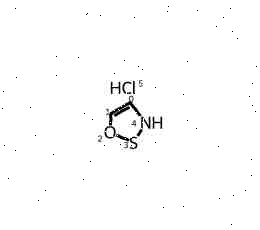 C1=COSN1.Cl